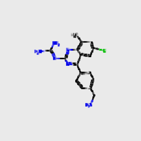 Cc1cc(Cl)cc2c(-c3ccc(CN)cc3)nc(N=C(N)N)nc12